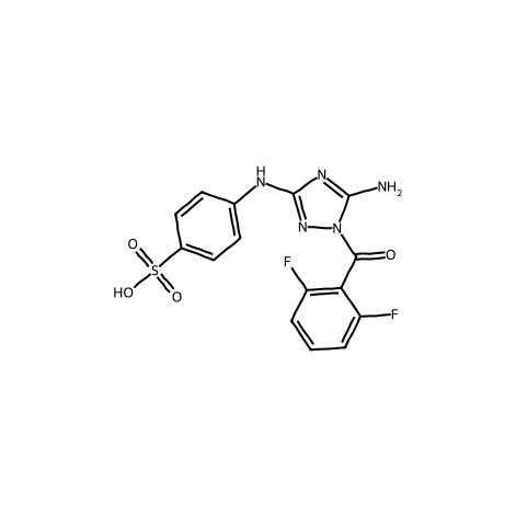 Nc1nc(Nc2ccc(S(=O)(=O)O)cc2)nn1C(=O)c1c(F)cccc1F